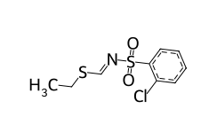 CCSC=NS(=O)(=O)c1ccccc1Cl